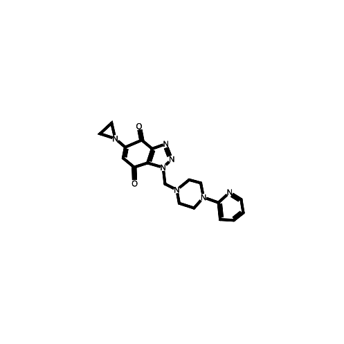 O=C1C(N2CC2)=CC(=O)c2c1nnn2CN1CCN(c2ccccn2)CC1